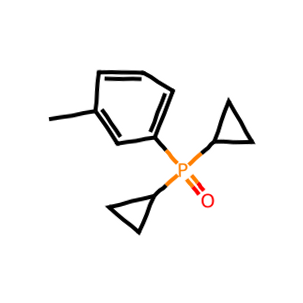 Cc1cccc(P(=O)(C2CC2)C2CC2)c1